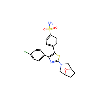 NS(=O)(=O)c1ccc(-c2sc(N3CC4CCC(C3)O4)nc2-c2ccc(Cl)cc2)cc1